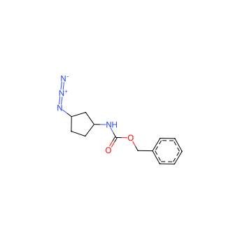 [N-]=[N+]=NC1CCC(NC(=O)OCc2ccccc2)C1